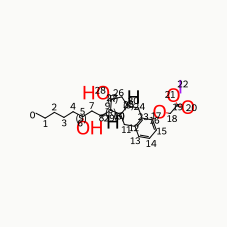 CCCCC[C@H](O)CC[C@@H]1[C@H]2Cc3cccc(OCC(=O)OI)c3C[C@H]2C[C@H]1O